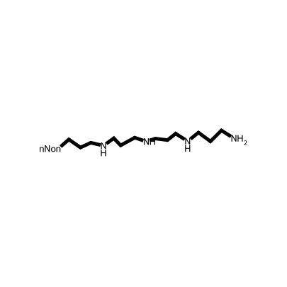 CCCCCCCCCCCCNCCCNCCCNCCCN